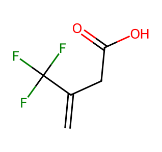 C=C(CC(=O)O)C(F)(F)F